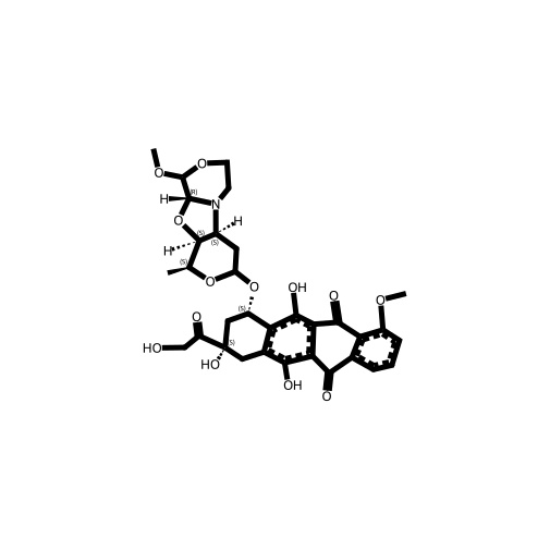 COc1cccc2c1C(=O)c1c(O)c3c(c(O)c1C2=O)C[C@@](O)(C(=O)CO)C[C@@H]3OC1C[C@H]2[C@H](O[C@@H]3C(OC)OCCN32)[C@H](C)O1